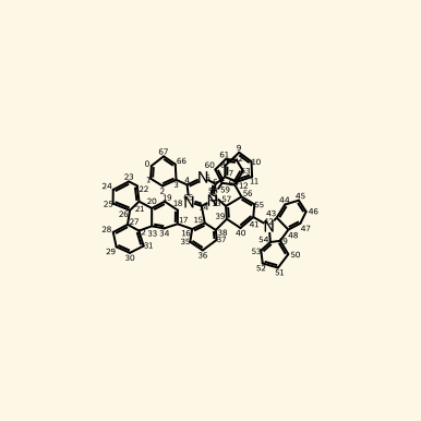 c1ccc(-c2nc(-c3ccccc3)nc(-c3c(-c4ccc5c6ccccc6c6ccccc6c5c4)cccc3-c3cc(-n4c5ccccc5c5ccccc54)cc4c3sc3ccccc34)n2)cc1